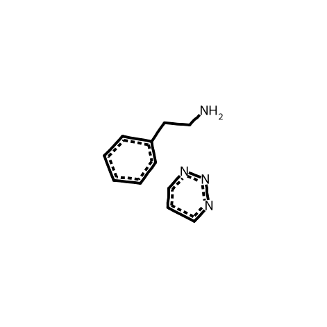 NCCc1ccccc1.c1cnnnc1